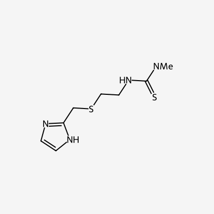 CNC(=S)NCCSCc1ncc[nH]1